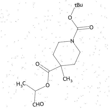 CC(C=O)OC(=O)C1(C)CCN(C(=O)OC(C)(C)C)CC1